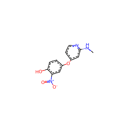 CNc1cc(Oc2ccc(O)c([N+](=O)[O-])c2)ccn1